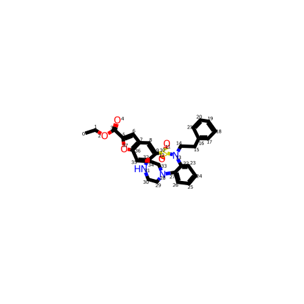 CCOC(=O)c1cc2cc(S(=O)(=O)N(CCc3ccccc3)c3ccccc3N3CCNCC3)ccc2o1